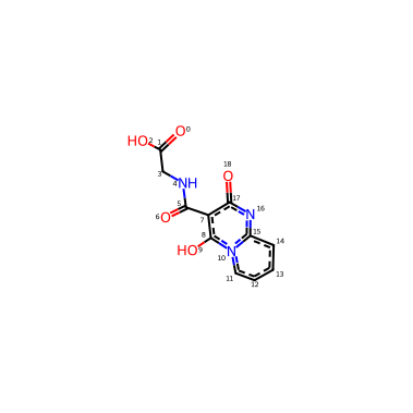 O=C(O)CNC(=O)c1c(O)n2ccccc2nc1=O